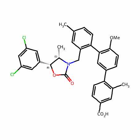 COc1ccc(-c2ccc(C(=O)O)cc2C)cc1-c1ccc(C)cc1CN1C(=O)O[C@H](c2cc(Cl)cc(Cl)c2)[C@@H]1C